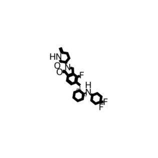 C=C1CCC(N2Cc3c(ccc(C[C@H]4CCCC[C@@H]4NC4CCC(F)(F)CC4)c3F)C2=O)C(=O)N1